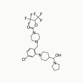 O=C(OC(C(F)(F)F)C(F)(F)F)N1CCN(Cc2ccc(Cl)cc2N2CCC(C(O)N3CCCC3)CC2)CC1